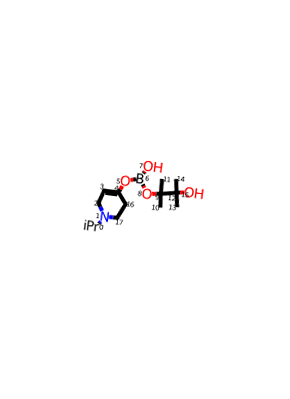 CC(C)N1CC=C(OB(O)OC(C)(C)C(C)(C)O)CC1